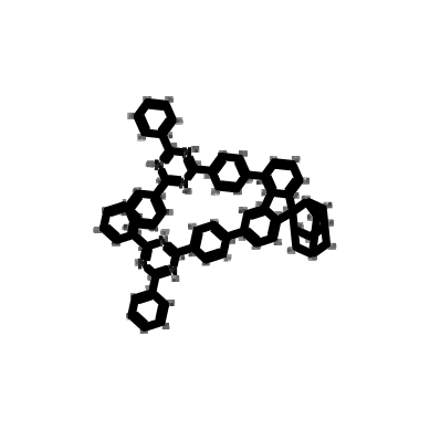 c1ccc(-c2nc(-c3ccccc3)nc(-c3ccc(-c4ccc5c(c4)-c4c(-c6ccc(-c7nc(-c8ccccc8)nc(-c8ccccc8)n7)cc6)cccc4C54C5CC6CC(C5)CC4C6)cc3)n2)cc1